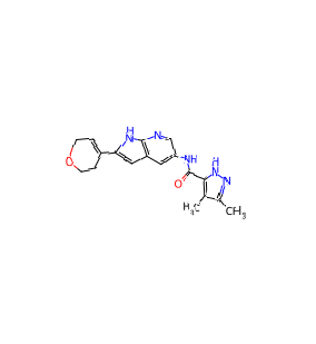 Cc1n[nH]c(C(=O)Nc2cnc3[nH]c(C4=CCOCC4)cc3c2)c1C